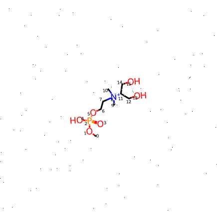 COP(=O)(O)OCC[N+](C)(C)C(CO)CO